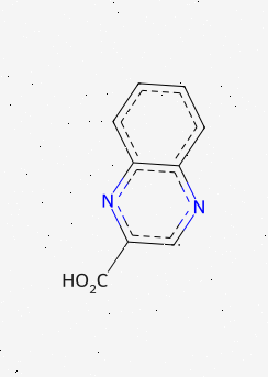 O=C(O)c1[c]nc2ccccc2n1